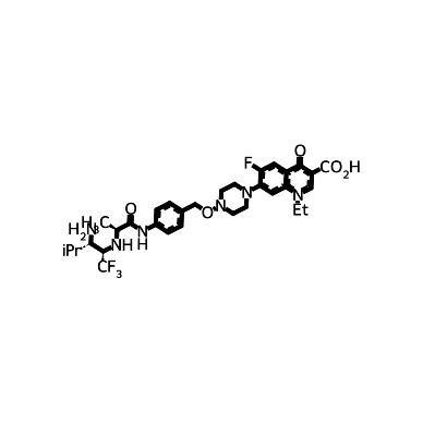 CCn1cc(C(=O)O)c(=O)c2cc(F)c(N3CCN(OCc4ccc(NC(=O)[C@H](C)N[C@@H]([C@@H](N)C(C)C)C(F)(F)F)cc4)CC3)cc21